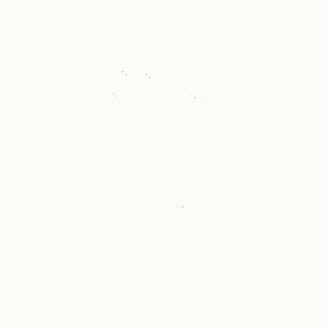 CC(=O)NC(c1ccc(N2CCOCC2)c(F)c1)c1c[nH]nn1